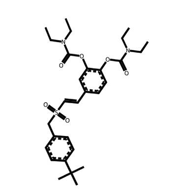 CCN(CC)C(=O)Oc1ccc(/C=C/S(=O)(=O)Cc2ccc(C(C)(C)C)cc2)cc1OC(=O)N(CC)CC